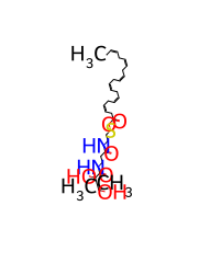 CC/C=C\C/C=C\C/C=C\C/C=C\C/C=C\C/C=C\CC(=O)OSCCNC(=O)CCNC(=O)[C@H](O)C(C)(C)CO